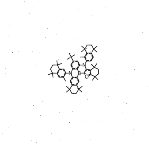 Cc1cc2c(cc1N1c3cc4c(cc3B3c5oc6c(c5N(c5ccc7c(c5C)C(C)(C)CCC7(C)C)c5cc(C(C)(C)C)cc1c53)C(C)(C)CCC6(C)C)C(C)(C)CCC4(C)C)C(C)(C)CCC2(C)C